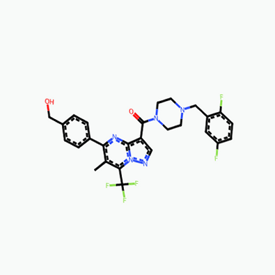 Cc1c(-c2ccc(CO)cc2)nc2c(C(=O)N3CCN(Cc4cc(F)ccc4F)CC3)cnn2c1C(F)(F)F